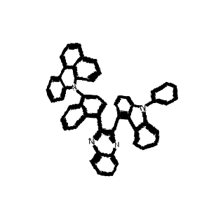 c1ccc(-n2c3ccccc3c3c(-c4nc5ccccc5nc4-c4ccc(N5c6ccccc6-c6cccc7cccc5c67)c5ccccc45)cccc32)cc1